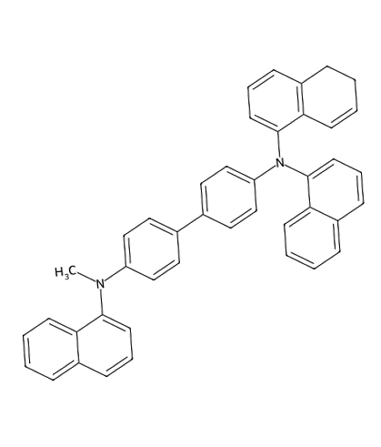 CN(c1ccc(-c2ccc(N(c3cccc4c3C=CCC4)c3cccc4ccccc34)cc2)cc1)c1cccc2ccccc12